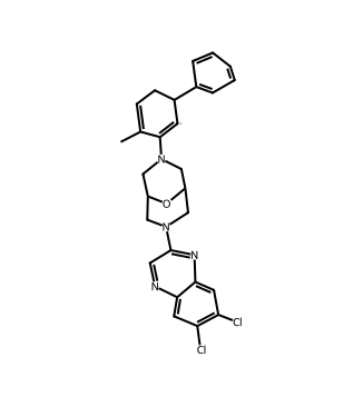 CC1=CCC(c2ccccc2)[C]=C1N1CC2CN(c3cnc4cc(Cl)c(Cl)cc4n3)CC(C1)O2